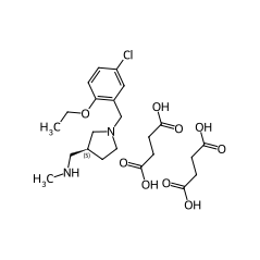 CCOc1ccc(Cl)cc1CN1CC[C@@H](CNC)C1.O=C(O)CCC(=O)O.O=C(O)CCC(=O)O